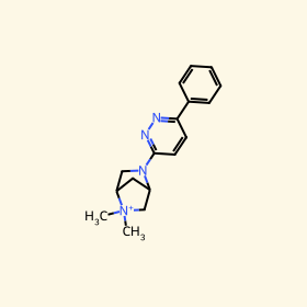 C[N+]1(C)CC2CC1CN2c1ccc(-c2ccccc2)nn1